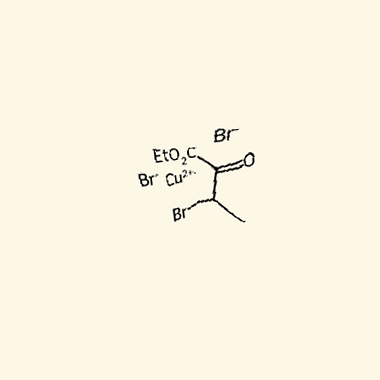 CCOC(=O)C(=O)C(C)Br.[Br-].[Br-].[Cu+2]